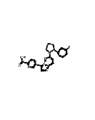 O=C(O)c1ccc(-c2cnc3ccc(N4CCCC4c4cccc(F)c4)nn23)cn1